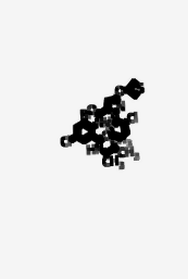 CC(C)C(C)NC(=O)c1cc(Cl)cc(Br)c1NC(=O)c1cc(OC2CSC2)nn1-c1ncccc1Cl